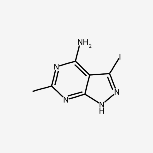 Cc1nc(N)c2c(I)n[nH]c2n1